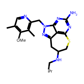 COc1c(C)cnc(Cn2nc3c4c(nc(N)nc42)SCC(NCC(C)C)C3)c1C